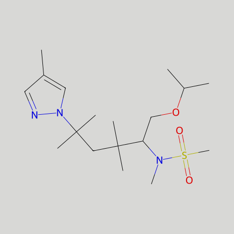 Cc1cnn(C(C)(C)CC(C)(C)C(COC(C)C)N(C)S(C)(=O)=O)c1